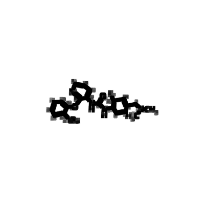 CN(C)Cc1ccc(NC(=O)Nc2cccnc2Oc2ccccc2C(C)(C)C)c(F)c1